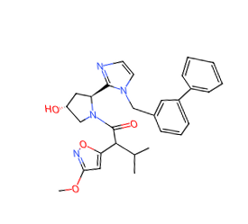 COc1cc(C(C(=O)N2C[C@H](O)C[C@H]2c2nccn2Cc2cccc(-c3ccccc3)c2)C(C)C)on1